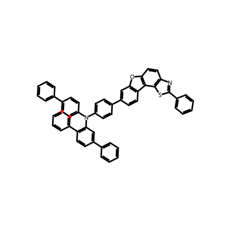 c1ccc(-c2ccc(N(c3ccc(-c4ccc5c(c4)oc4ccc6nc(-c7ccccc7)sc6c45)cc3)c3cc(-c4ccccc4)ccc3-c3ccccc3)cc2)cc1